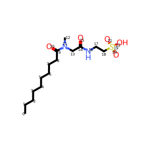 CCCCCCCCCC(=O)N(C)CC(=O)NCCS(=O)(=O)O